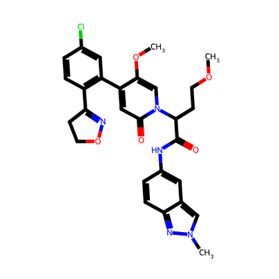 COCCC(C(=O)Nc1ccc2nn(C)cc2c1)n1cc(OC)c(-c2cc(Cl)ccc2C2=NOCC2)cc1=O